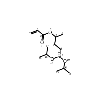 C=CC(=O)OC(C)CC[SiH](OC(C)C)OC(C)C